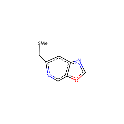 CSCc1cc2ncoc2cn1